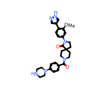 COc1cc(N2CCC3(CCN(C(=O)c4ccc(N5CCNCC5)cc4)CC3)C2=O)ccc1-c1cn[nH]c1